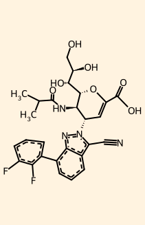 CC(C)C(=O)N[C@H]1[C@H]([C@H](O)[C@H](O)CO)OC(C(=O)O)=C[C@@H]1n1nc2c(-c3cccc(F)c3F)cccc2c1C#N